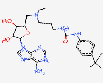 CCN(CCCNC(=O)Nc1ccc(C(C)(C)C)cc1)C[C@H]1O[C@@H](n2cnc3c(N)ncnc32)[C@H](O)[C@H]1O